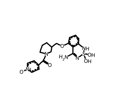 NC1=NS(O)(O)Nc2cccc(OCC3CCCN(C(=O)c4cc[n+]([O-])cc4)C3)c21